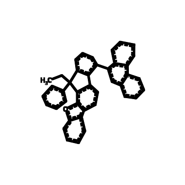 CCC1(c2ccccc2)c2cccc(-c3cc4ccccc4c4ccccc34)c2-c2ccc3c(oc4ccccc43)c21